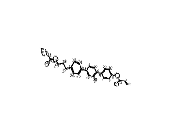 C=CC(=O)Oc1ccc(-c2ccc(-c3ccc(CCCOC(=O)CC)cc3)cc2F)cc1